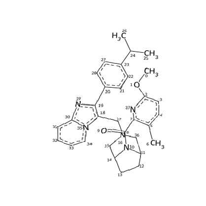 COc1ccc(C)c(C(=O)N2C3CCC2CN(Cc2c(-c4ccc(C(C)C)cc4)nc4ccccn24)C3)n1